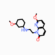 COc1ccc2ccc(=O)n(CCNC3CCCC(OC)C3)c2n1